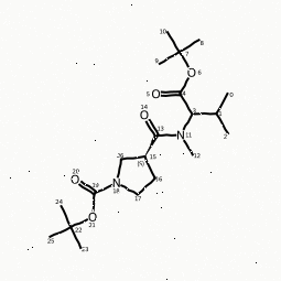 CC(C)C(C(=O)OC(C)(C)C)N(C)C(=O)[C@H]1CCN(C(=O)OC(C)(C)C)C1